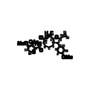 COc1ccc(C[C@H]2CCC[C@H](NC(=O)c3nccc(OC)c3OC(C)=O)C(=O)O[C@@H](C)[C@@H]2OCC2CC2)cc1